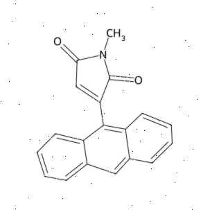 CN1C(=O)C=C(c2c3ccccc3cc3ccccc23)C1=O